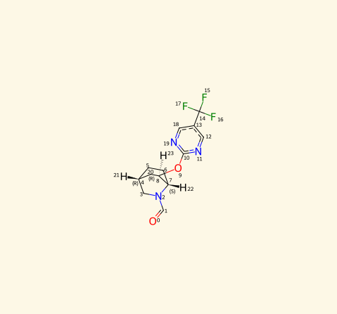 O=CN1C[C@@H]2CC[C@H]1[C@H](Oc1ncc(C(F)(F)F)cn1)C2